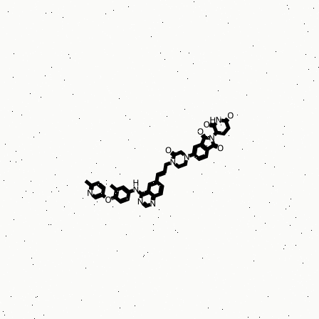 Cc1ccc(Oc2ccc(Nc3ncnc4ccc(C=CCN5CCN(c6ccc7c(c6)C(=O)N(C6CCC(=O)NC6=O)C7=O)CC5=O)cc34)cc2C)cn1